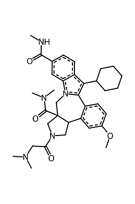 CNC(=O)c1ccc2c(C3CCCCC3)c3n(c2c1)CC1(C(=O)N(C)C)CN(C(=O)CN(C)C)CC1c1cc(OC)ccc1-3